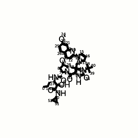 CCC[C@H](NC(=O)[C@@H]1CC(Oc2cc(-n3cccn3)nc3cc(OC)ccc23)CN1C(=O)[C@@H](NC(=O)NC(C)(C)C)C(C)(C)C)C(O)C(=O)NC1CC1